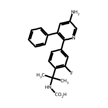 CC(C)(NC(=O)O)c1ccc(-c2ncc(N)cc2-c2ccccc2)cc1F